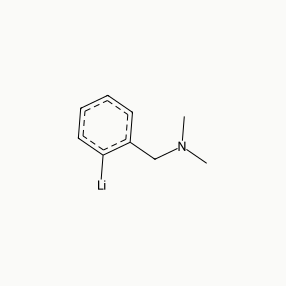 [Li][c]1ccccc1CN(C)C